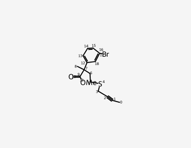 CC#CCSCCC(C)(C(=O)OC)c1cccc(Br)c1